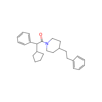 O=C(C(c1ccccc1)C1CCCC1)N1CCC(CCc2ccccc2)CC1